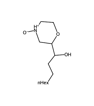 CCCCCCCCC(O)C1C[NH+]([O-])CCO1